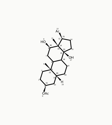 CC(=O)O[C@H]1CC[C@]2(C)C3C[C@@H](O)[C@]4(C)[C@@H](C(C)=O)CC[C@]4(O)C3CC[C@@H]2C1